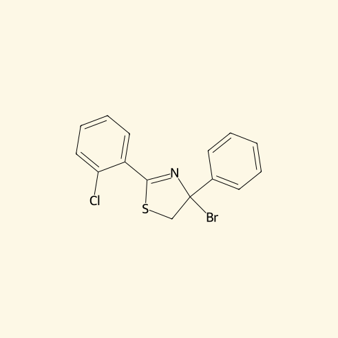 Clc1ccccc1C1=NC(Br)(c2ccccc2)CS1